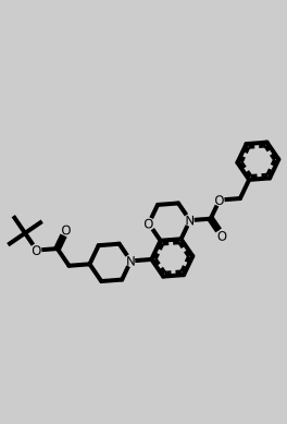 CC(C)(C)OC(=O)CC1CCN(c2cccc3c2OCCN3C(=O)OCc2ccccc2)CC1